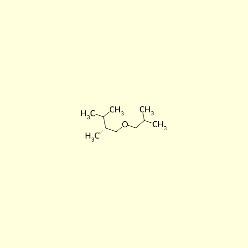 CC(C)COC[C@H](C)C(C)C